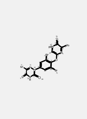 CC(C)c1nc(Oc2c(Br)cc(-n3nc(C#N)c(=O)[nH]c3=O)cc2Br)c[nH]c1=O